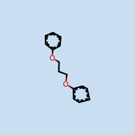 [c]1ccccc1OCCCOc1ccccc1